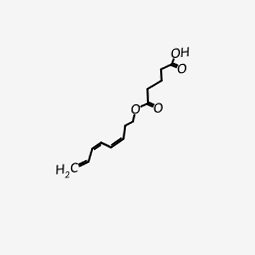 C=C/C=C\C=C/CCOC(=O)CCCC(=O)O